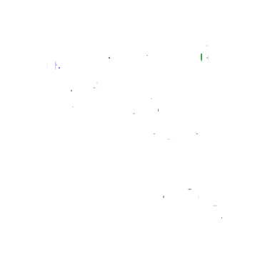 NC(=O)c1ccc(CBr)c(-c2ccc(F)cc2)c1